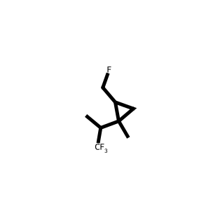 CC(C(F)(F)F)C1(C)CC1CF